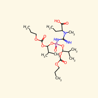 CCCOC(=O)OC(OP(=O)(NC(=N)N(C)C(CC)C(=O)O)OC(OC(=O)OCCC)C(C)C)C(C)C